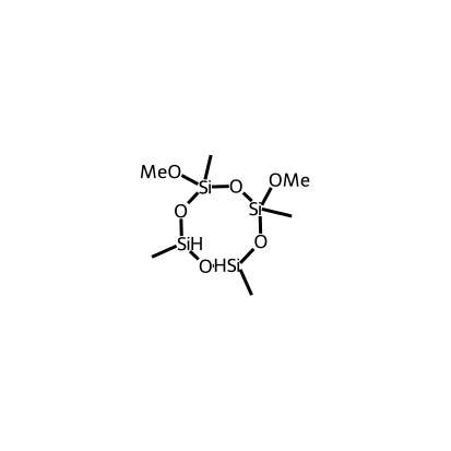 CO[Si]1(C)O[SiH](C)O[SiH](C)O[Si](C)(OC)O1